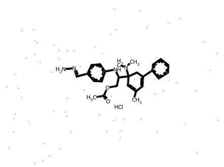 CC(=O)OCC(Nc1ccc(C=NN)cc1)C1(N(C)C)C=C(C)C=C(c2ccccc2)C1.Cl